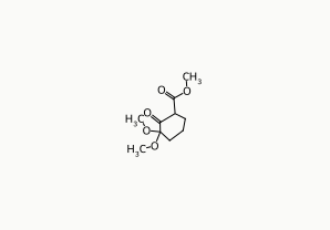 COC(=O)C1CCCC(OC)(OC)C1=O